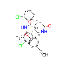 C#Cc1ccc(OC)c([C@H]2NC(=O)C[C@@H](c3cccc(Cl)c3)[C@]23C(=O)Nc2cc(Cl)ccc23)c1